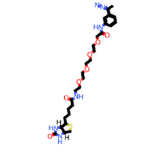 CC(=[N+]=[N-])c1cccc(NC(=O)COCCOCCOCCOCCNC(=O)CCCCC2SC[C@@H]3NC(=O)N[C@H]23)c1